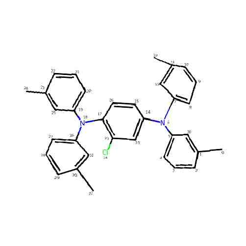 Cc1cccc(N(c2cccc(C)c2)c2ccc(N(c3cccc(C)c3)c3cccc(C)c3)c(Cl)c2)c1